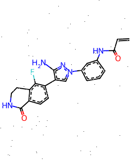 C=CC(=O)Nc1cccc(-n2cc(-c3ccc4c(c3F)CCNC4=O)c(N)n2)c1